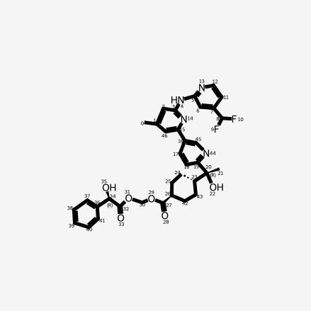 Cc1cc(Nc2cc(C(F)F)ccn2)nc(-c2ccc([C@](C)(O)[C@H]3CC[C@H](C(=O)OCOC(=O)[C@H](O)c4ccccc4)CC3)nc2)c1